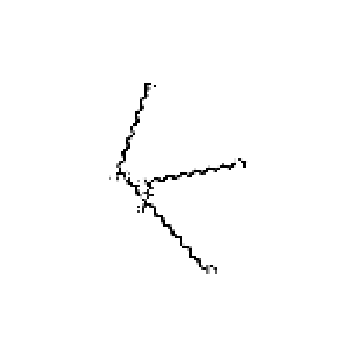 CC(C)CCCCCCCCCCCCC(=O)OCC(COC(=O)CCCCCCCCCCCCC(C)C)OC(=O)CCCCCCCCCCCCC(C)C